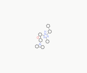 c1ccc(C2=NC(c3cccc(-c4ccccc4)c3)NC(c3cccc4oc5cc(-n6c7ccccc7c7ccccc76)ccc5c34)=N2)cc1